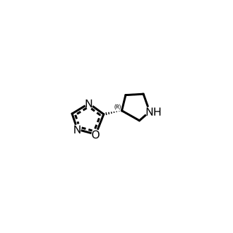 c1noc([C@@H]2CCNC2)n1